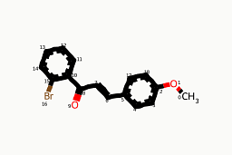 COc1ccc(C=CC(=O)c2ccccc2Br)cc1